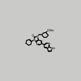 COC1CCCC(Cn2c(=O)n(C3=CCCCC3)c3ncc(-c4cnc5[nH]ccc5c4)cc32)C1